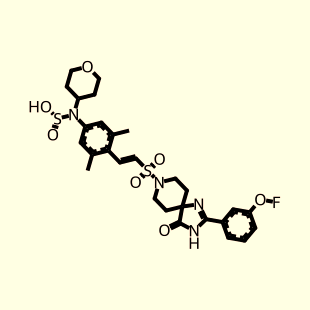 Cc1cc(N(C2CCOCC2)S(=O)O)cc(C)c1/C=C/S(=O)(=O)N1CCC2(CC1)N=C(c1cccc(OF)c1)NC2=O